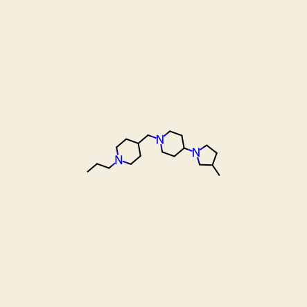 CCCN1CCC(CN2CCC(N3CCC(C)C3)CC2)CC1